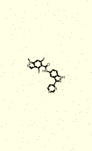 Cn1ncc2c(F)c(C(=O)Nc3ccc4[nH]nc(-c5ccncn5)c4c3)c(F)cc21